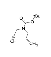 C#CCN(CC=C)C(=O)OC(C)(C)C